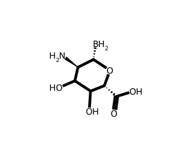 B[C@@H]1O[C@H](C(=O)O)C(O)C(O)[C@H]1N